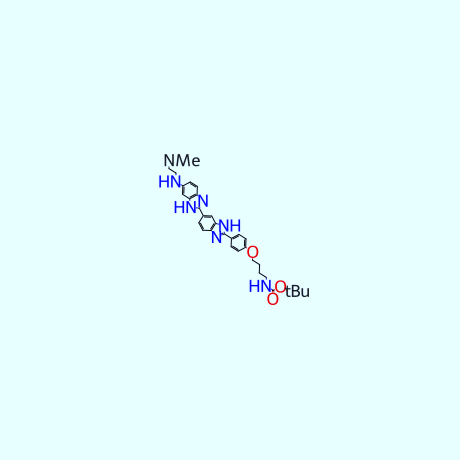 CNCCNc1ccc2nc(-c3ccc4nc(-c5ccc(OCCCCNC(=O)OC(C)(C)C)cc5)[nH]c4c3)[nH]c2c1